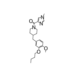 CCCCOc1cc(CC2CCN(C(=O)c3cn(C)cn3)CC2)ccc1OC